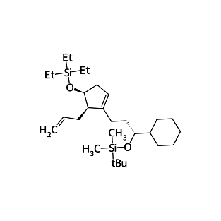 C=CC[C@@H]1C(CC[C@@H](O[Si](C)(C)C(C)(C)C)C2CCCCC2)=CC[C@@H]1O[Si](CC)(CC)CC